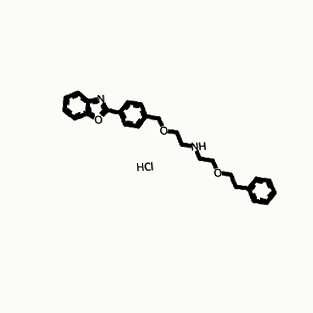 Cl.c1ccc(CCOCCNCCOCc2ccc(-c3nc4ccccc4o3)cc2)cc1